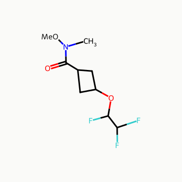 CON(C)C(=O)C1CC(OC(F)C(F)F)C1